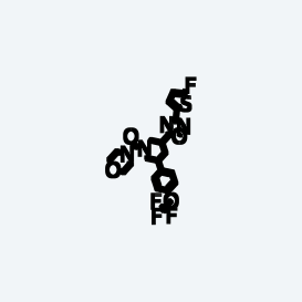 O=C(N1CCOCC1)N1CC(c2ccc(OC(F)(F)F)cc2)CC(c2nc(-c3ccc(F)s3)no2)C1